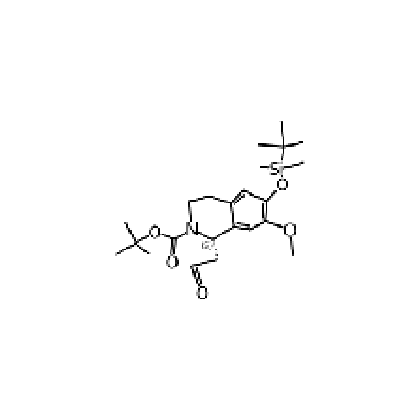 COc1cc2c(cc1O[Si](C)(C)C(C)(C)C)CCN(C(=O)OC(C)(C)C)[C@H]2CC=O